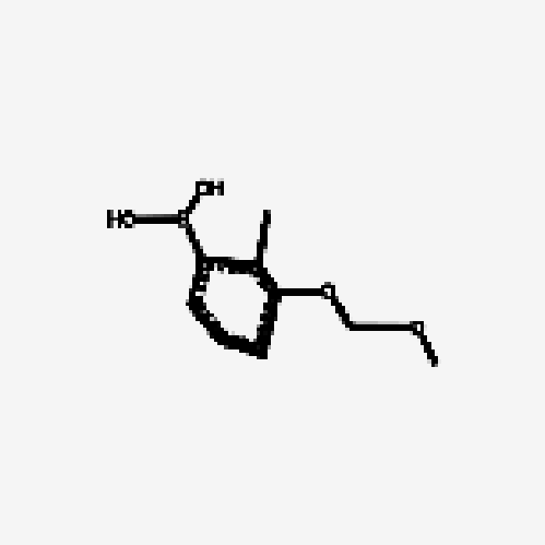 COCOc1cccc(B(O)O)c1C